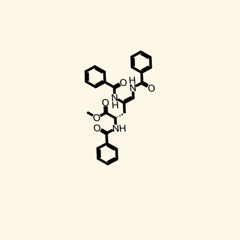 COC(=O)[C@H](C/C(=C/NC(=O)c1ccccc1)NC(=O)c1ccccc1)NC(=O)c1ccccc1